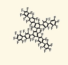 Cc1c(F)c(-c2c(F)c(F)c(F)c(F)c2F)c(F)c(F)c1-c1c(F)c(-c2c(F)c(F)c(-c3c(F)c(F)c(F)c(F)c3F)c(F)c2F)c(F)c(-c2c(F)c(-c3c(F)c(F)c(-c4c(F)c(F)c(F)c(F)c4F)c(F)c3F)c(F)c(-c3c(F)c(F)c(-c4c(F)c(F)c(F)c(F)c4F)c(F)c3F)c2F)c1F